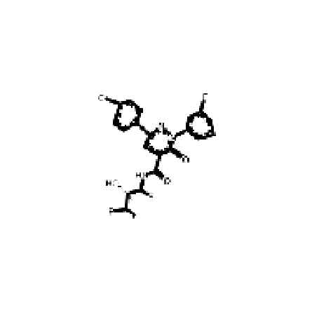 O=C(NC(F)[C@@H](O)C(F)F)c1cc(-c2ccc(Cl)cc2)nn(-c2cccc(F)c2)c1=O